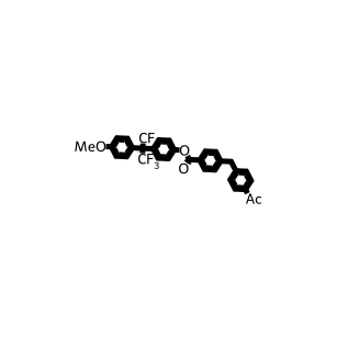 COc1ccc(C(c2ccc(OC(=O)c3ccc(Cc4ccc(C(C)=O)cc4)cc3)cc2)(C(F)(F)F)C(F)(F)F)cc1